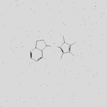 CC1=C(C)C(C)[C]([Zr+2][CH]2CCC3C=CC=CC32)=C1C.[Cl-].[Cl-]